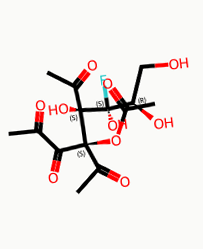 CC(=O)O[C@@](C(C)=O)(C(=O)C(C)=O)[C@](O)(C(C)=O)[C@@](O)(F)[C@H](O)CO